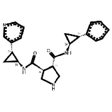 O=C(N[C@H]1C[C@@H]1c1ccccc1)[C@@H]1CNC[C@H]1C(=O)N[C@H]1C[C@@H]1c1cccnc1